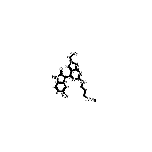 CNCCCNc1nc(C2C(=O)Nc3ccc(Br)cc32)c2cn(CC(C)C)nc2n1